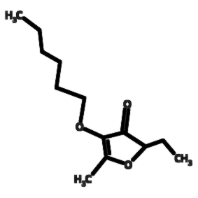 CCCCCCOC1=C(C)OC(CC)C1=O